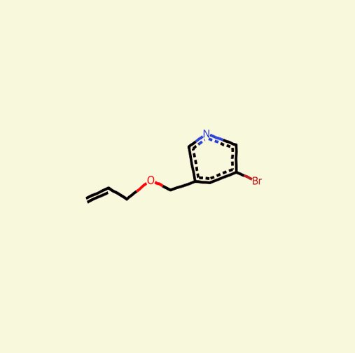 C=CCOCc1cncc(Br)c1